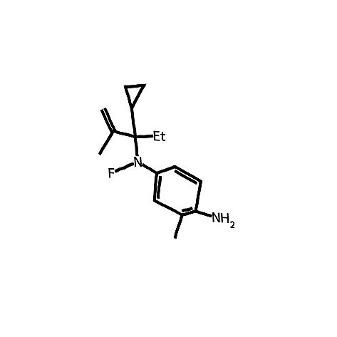 C=C(C)C(CC)(C1CC1)N(F)c1ccc(N)c(C)c1